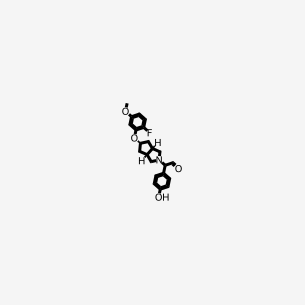 COc1ccc(F)c(O[C@H]2C[C@@H]3CN(C(C=O)c4ccc(O)cc4)C[C@@H]3C2)c1